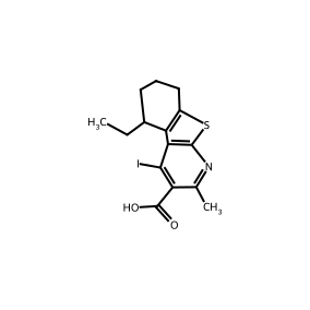 CCC1CCCc2sc3nc(C)c(C(=O)O)c(I)c3c21